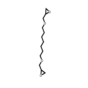 [CH](CCCOCC1CO1)CCCOCC1CO1